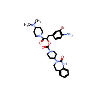 CN(C)C1CCN(C(=O)C(Cc2ccc(N)c(Br)c2)OC(=O)N2CCC(N3CCc4ccccc4NC3=O)CC2)CC1